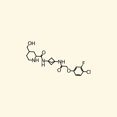 O=C(COc1ccc(Cl)c(F)c1)NC12CC(NC(=O)C3CC(CO)CCN3)(C1)C2